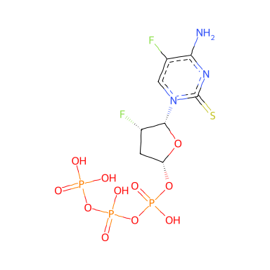 Nc1nc(=S)n([C@@H]2O[C@H](OP(=O)(O)OP(=O)(O)OP(=O)(O)O)C[C@@H]2F)cc1F